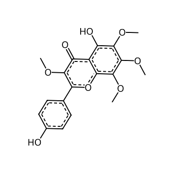 COc1c(OC)c(O)c2c(=O)c(OC)c(-c3ccc(O)cc3)oc2c1OC